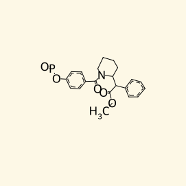 COC(=O)C(c1ccccc1)C1CCCCN1C(=O)c1ccc(OP=O)cc1